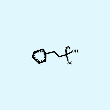 CCCC(O)(CCc1ccccc1)C(C)=O